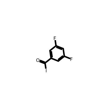 O=C(I)c1cc(F)cc(F)c1